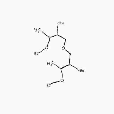 CCCCC(COCC(CCCC)C(C)OCC)C(C)OCC